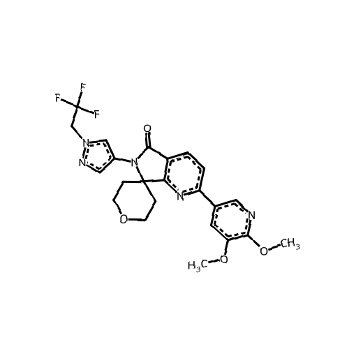 COc1cc(-c2ccc3c(n2)C2(CCOCC2)N(c2cnn(CC(F)(F)F)c2)C3=O)cnc1OC